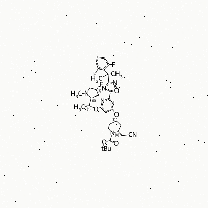 C[C@H](Oc1cc(O[C@H]2CCN(C(=O)OC(C)(C)C)[C@H](CC#N)C2)nc(-c2nc(C(C)(C)c3c(F)cccc3F)no2)n1)[C@@H]1C[C@H](F)CN1C